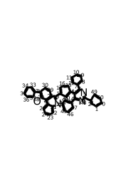 c1ccc(-c2nc(-c3ccccc3)c(-c3cccc(-c4nc5ccccc5c5c4ccc4c6ccccc6oc45)c3)c(-c3ccccc3)n2)cc1